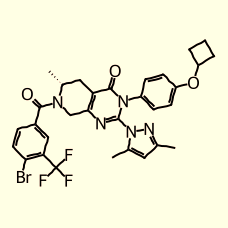 Cc1cc(C)n(-c2nc3c(c(=O)n2-c2ccc(OC4CCC4)cc2)C[C@@H](C)N(C(=O)c2ccc(Br)c(C(F)(F)F)c2)C3)n1